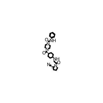 N#C[C@@H]1CCCN1C(=O)CN[C@H]1CC[C@H](C(=O)N2CCN(C(=O)Nc3ccccc3)CC2)CC1